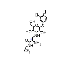 N/C(=C\NC1C(O)C(CO)OC(Sc2ccc(Cl)c(Cl)c2)C1O)C(=O)NCC(F)(F)F